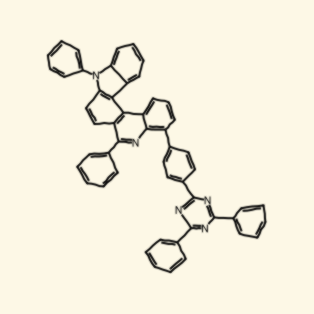 c1ccc(-c2nc(-c3ccccc3)nc(-c3ccc(-c4cccc5c4nc(-c4ccccc4)c4ccc6c(c7ccccc7n6-c6ccccc6)c45)cc3)n2)cc1